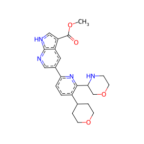 COC(=O)c1c[nH]c2ncc(-c3ccc(C4CCOCC4)c(C4COCCN4)n3)cc12